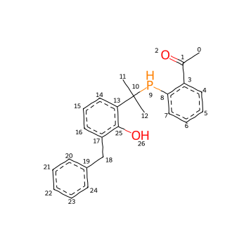 CC(=O)c1ccccc1PC(C)(C)c1cccc(Cc2ccccc2)c1O